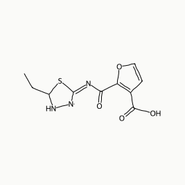 CCC1N[N]C(=NC(=O)c2occc2C(=O)O)S1